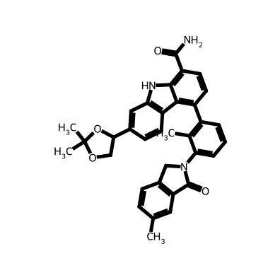 Cc1ccc2c(c1)C(=O)N(c1cccc(-c3ccc(C(N)=O)c4[nH]c5cc(C6COC(C)(C)O6)ccc5c34)c1C)C2